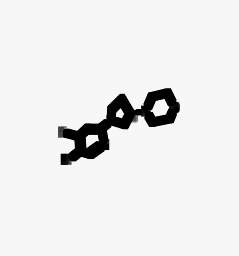 Fc1cc(N2CC[C@H](N3CCOCC3)C2)ncc1Br